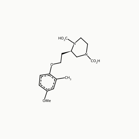 COc1ccc(OCC[C@@H]2CN(C(=O)O)CCN2C(=O)O)c(C)c1